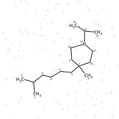 CC(C)CCCCC1(C)CCN(C(C)C)CC1